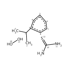 CC(C)c1ccccc1.NC(N)=S.OO